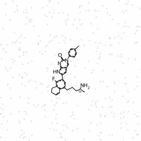 Cc1ccc(-n2cc3cc(-c4cc(CCC[C@H](C)N)c5c(c4F)CCC=C5)[nH]c3nc2=O)cc1